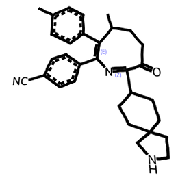 Cc1ccc(/C2=C(c3ccc(C#N)cc3)/N=C(/C3CCC4(CCNC4)CC3)C(=O)CCC2C)cc1